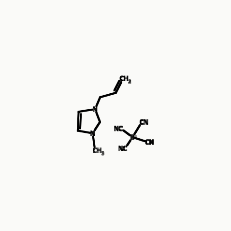 C=CCN1C=CN(C)C1.N#C[B-](C#N)(C#N)C#N